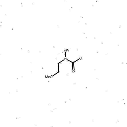 CCCN(CCOC)C(=O)Cl